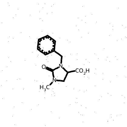 CN1CC(C(=O)O)N(Cc2ccccc2)C1=O